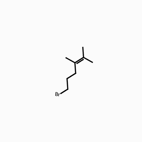 CC(C)=C(C)CCCBr